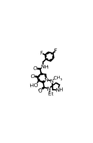 CCN1C(=O)c2c(O)c(=O)c(C(=O)NCc3ccc(F)cc3F)cn2N(C)C12CCNC2